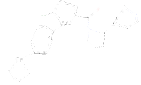 O=C(c1ccc(Cl)c(-c2ccc(-c3ccccc3)cc2)c1)N1CCCC1c1ccncc1